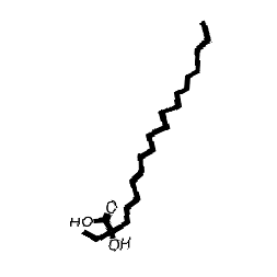 CCCCCCCCCCCCCCCCCCC(O)(CC)C(=O)O